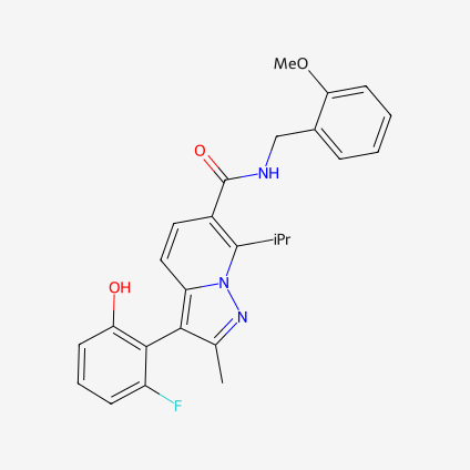 COc1ccccc1CNC(=O)c1ccc2c(-c3c(O)cccc3F)c(C)nn2c1C(C)C